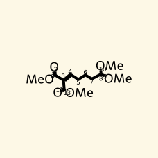 COC(=O)C(=CCCCC(OC)OC)C(=O)OC